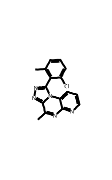 Cc1cccc(Cl)c1-c1nnc2c(C)nc3ncccc3n12